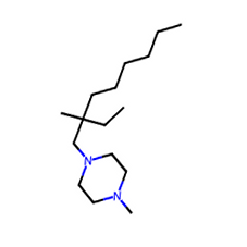 CCCCCCC(C)(CC)CN1CCN(C)CC1